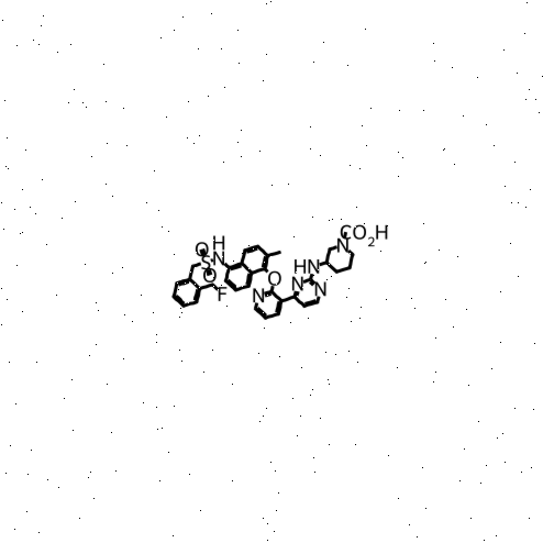 Cc1ccc2c(NS(=O)(=O)Cc3ccccc3CF)cccc2c1Oc1ncccc1-c1ccnc(NC2CCCN(C(=O)O)C2)n1